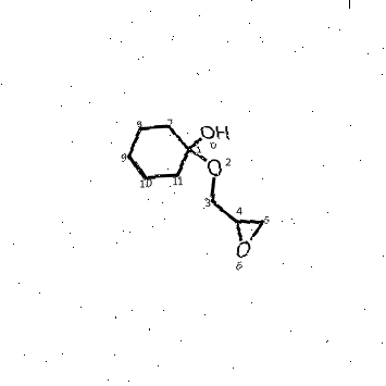 OC1(OCC2CO2)CCCCC1